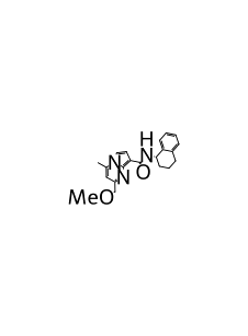 COCc1cc(C)n2ccc(C(=O)N[C@H]3CCCc4ccccc43)c2n1